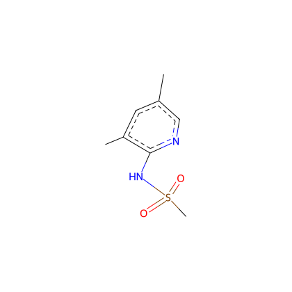 Cc1cnc(NS(C)(=O)=O)c(C)c1